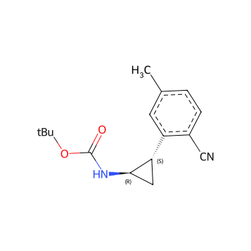 Cc1ccc(C#N)c([C@@H]2C[C@H]2NC(=O)OC(C)(C)C)c1